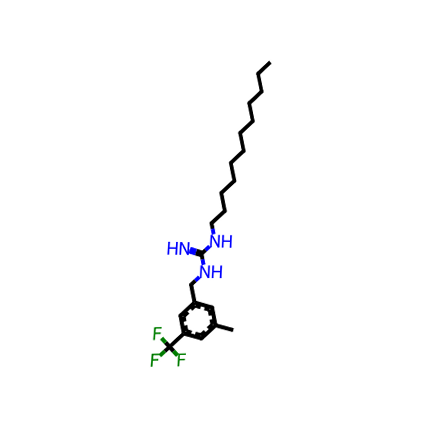 CCCCCCCCCCCCNC(=N)NCc1cc(C)cc(C(F)(F)F)c1